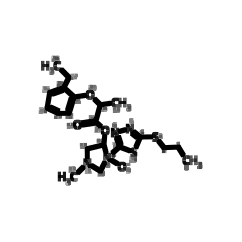 CCCSc1nnc([N+]2([O-])CN(C)CC2OC(=O)C(C)Oc2ccccc2CC)s1